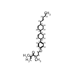 C=C(C)C(=O)N(C)CCOc1ccc(C2CCC(C3CCC(CCCCC)CC3)CC2)cc1